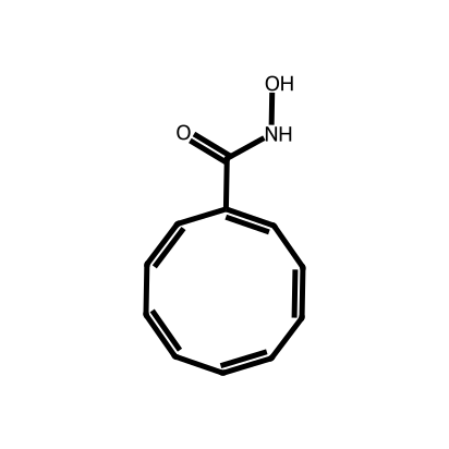 O=C(NO)c1ccccccccc1